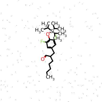 CCCCCC(C=O)Cc1cc(F)c(O[Si](C(C)C)(C(C)C)C(C)C)c(F)c1